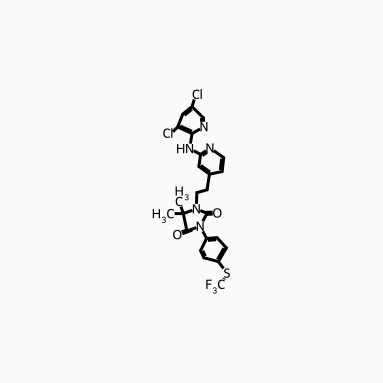 CC1(C)C(=O)N(c2ccc(SC(F)(F)F)cc2)C(=O)N1CCc1ccnc(Nc2ncc(Cl)cc2Cl)c1